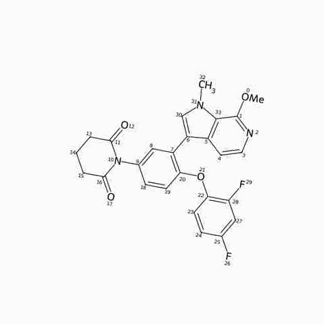 COc1nccc2c(-c3cc(N4C(=O)CCCC4=O)ccc3Oc3ccc(F)cc3F)cn(C)c12